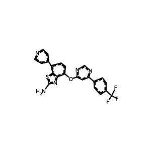 Nc1nc2c(Oc3cc(-c4ccc(C(F)(F)F)cc4)ncn3)ccc(-c3ccncc3)c2s1